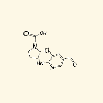 O=Cc1cnc(N[C@@H]2CCN(C(=O)O)C2)c(Cl)c1